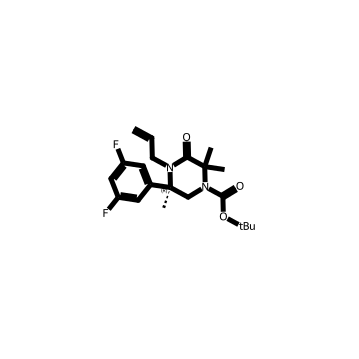 C=CCN1C(=O)C(C)(C)N(C(=O)OC(C)(C)C)C[C@@]1(C)c1cc(F)cc(F)c1